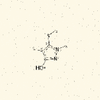 CSc1c(C)c(O)nn1C